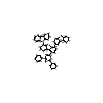 c1ccc(-c2nc(-c3ccccc3)nc(-c3ccc(-c4ccc5oc6ccccc6c5c4)c4sc5c(-n6c7ccccc7c7ccccc76)cccc5c34)n2)cc1